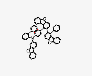 c1ccc(-c2ccccc2N(c2ccc(-c3c(-c4ccc5oc6ccccc6c5c4-c4ccccc4)ccc4oc5ccccc5c34)cc2)c2ccc3c(c2)oc2ccccc23)cc1